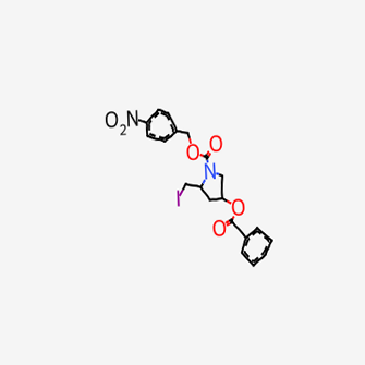 O=C(OC1CC(CI)N(C(=O)OCc2ccc([N+](=O)[O-])cc2)C1)c1ccccc1